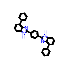 c1ccc(-c2cccc3[nH]c(-c4ccc(-c5nc6c(-c7ccccc7)cccc6[nH]5)cc4)nc23)cc1